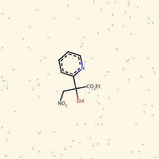 CCOC(=O)C(O)(C[N+](=O)[O-])c1ccccn1